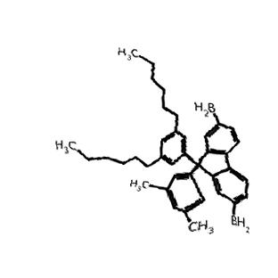 Bc1ccc2c(c1)C(c1cc(C)cc(C)c1)(c1cc(CCCCCC)cc(CCCCCC)c1)c1cc(B)ccc1-2